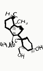 C=C1CCC2[C@H](CNC(C)=O)C(C3(C)CC[C@H](O)C[C@@H]3CO)CC[C@]12C